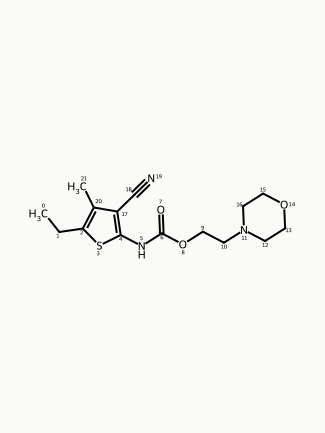 CCc1sc(NC(=O)OCCN2CCOCC2)c(C#N)c1C